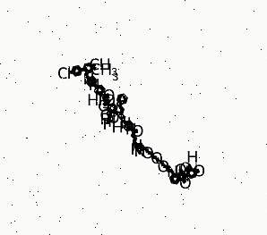 CC1(C)CCC(c2ccc(Cl)cc2)=C(CN2CCN(c3ccc(C(=O)NS(=O)(=O)c4ccc(N[C@H](CCN5CCN(C(=O)CCCn6cc(COCCOCCOCCNc7cccc8c7C(=O)N(C7CCC(=O)NC7=O)C8=O)nn6)CC5)CSc5ccccc5)c(S(=O)(=O)C(F)(F)F)c4)cc3)CC2)C1